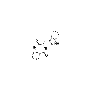 O=C1NC(Cc2c[nH]c3ccccc23)C(=S)Nc2ccccc21